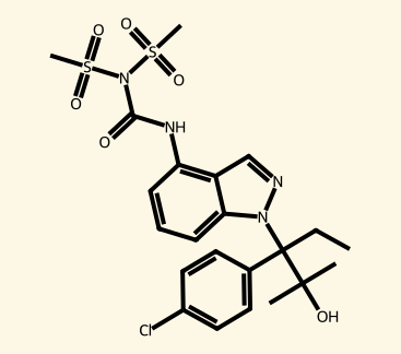 CCC(c1ccc(Cl)cc1)(n1ncc2c(NC(=O)N(S(C)(=O)=O)S(C)(=O)=O)cccc21)C(C)(C)O